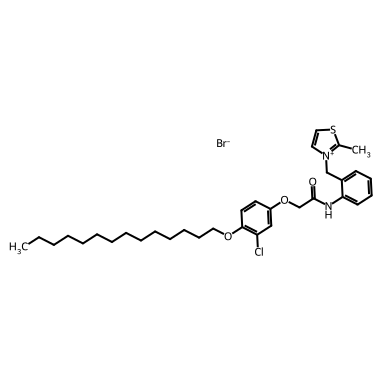 CCCCCCCCCCCCCCOc1ccc(OCC(=O)Nc2ccccc2C[n+]2ccsc2C)cc1Cl.[Br-]